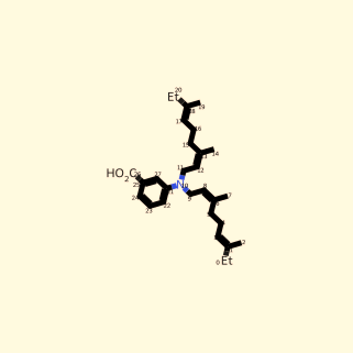 CCC(C)=CCCC(C)=CCN(CC=C(C)CCC=C(C)CC)c1cccc(C(=O)O)c1